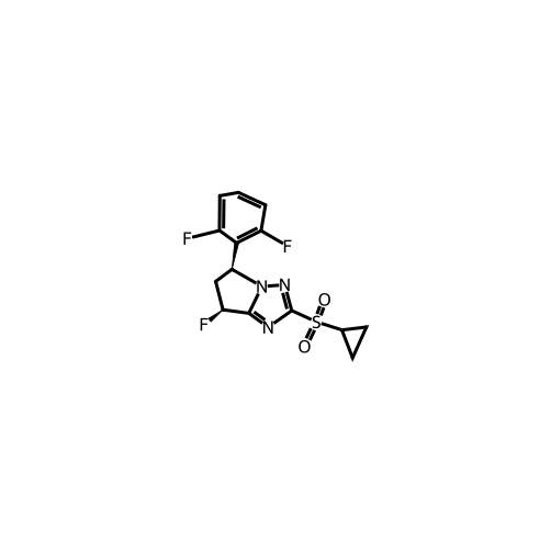 O=S(=O)(c1nc2n(n1)[C@H](c1c(F)cccc1F)C[C@@H]2F)C1CC1